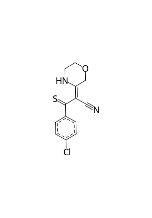 N#C/C(C(=S)c1ccc(Cl)cc1)=C1\COCCN1